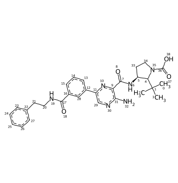 CC(C)(C)C1[C@@H](NC(=O)c2nc(-c3cccc(C(=O)NCCc4ccccc4)c3)cnc2N)CCN1C(=O)O